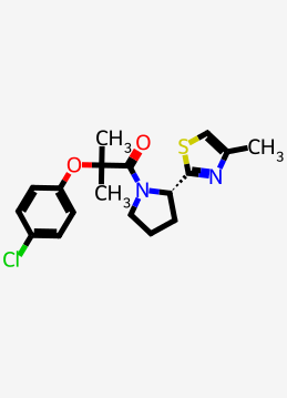 Cc1csc([C@@H]2CCCN2C(=O)C(C)(C)Oc2ccc(Cl)cc2)n1